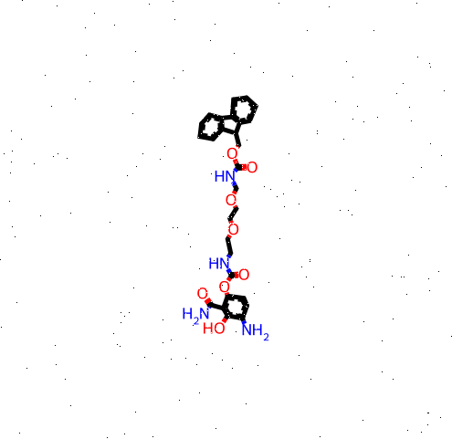 NC(=O)c1c(OC(=O)NCCOCCOCNC(=O)OCC2c3ccccc3-c3ccccc32)ccc(N)c1O